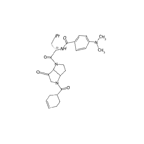 CC(C)C[C@H](NC(=O)c1ccc(N(C)C)cc1)C(=O)N1CCC2C1C(=O)CN2C(=O)C1CC=CCC1